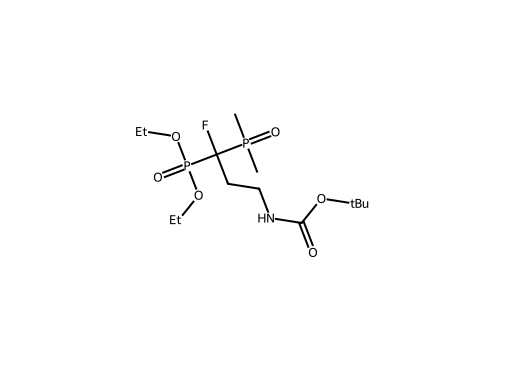 CCOP(=O)(OCC)C(F)(CCNC(=O)OC(C)(C)C)P(C)(C)=O